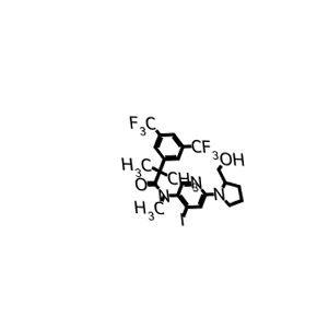 CN(C(=O)C(C)(C)c1cc(C(F)(F)F)cc(C(F)(F)F)c1)c1cnc(N2CCCC2CO)cc1I